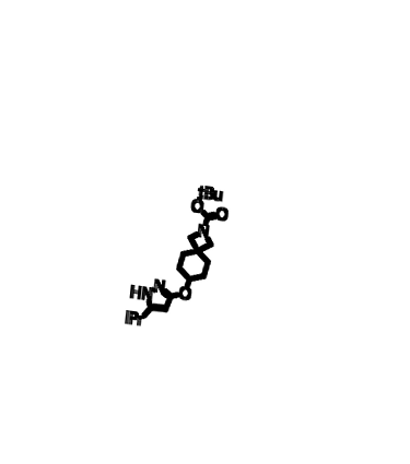 CC(C)c1cc(OC2CCC3(CC2)CN(C(=O)OC(C)(C)C)C3)n[nH]1